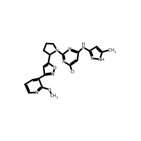 COc1ncccc1-c1cc(C2CCCN2c2nc(Cl)cc(Nc3cc(C)[nH]n3)n2)on1